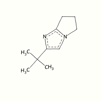 CC(C)(C)c1cn2c(n1)CCC2